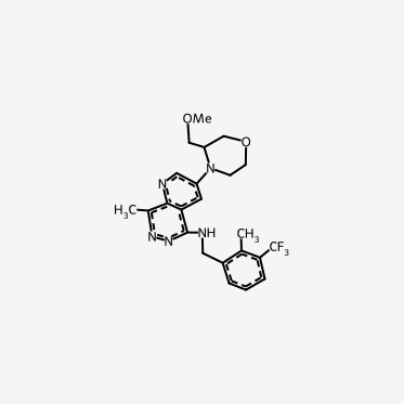 COCC1COCCN1c1cnc2c(C)nnc(NCc3cccc(C(F)(F)F)c3C)c2c1